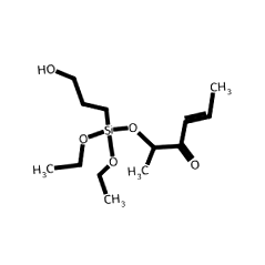 CC=CC(=O)C(C)O[Si](CCCO)(OCC)OCC